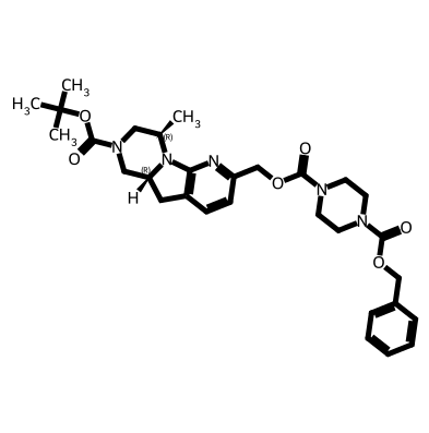 C[C@@H]1CN(C(=O)OC(C)(C)C)C[C@H]2Cc3ccc(COC(=O)N4CCN(C(=O)OCc5ccccc5)CC4)nc3N21